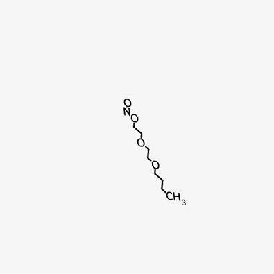 CCCCOCCOCCON=O